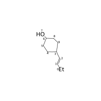 CCC=CC1CCC(O)CC1